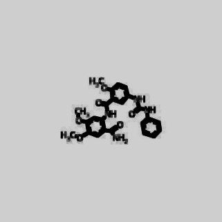 COc1cc(NC(=O)c2cc(NC(=O)Nc3ccccc3)ccc2OC)c(C(N)=O)cc1OC